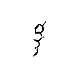 O=CNCC(=O)Nc1cccc(F)c1